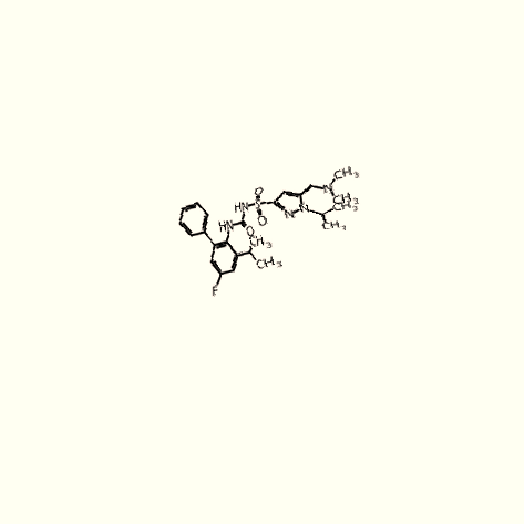 CC(C)c1cc(F)cc(-c2ccccc2)c1NC(=O)NS(=O)(=O)c1cc(CN(C)C)n(C(C)C)n1